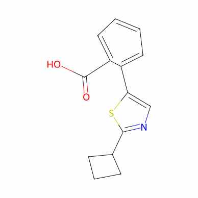 O=C(O)c1ccccc1-c1cnc(C2CCC2)s1